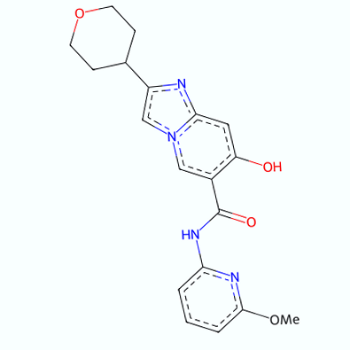 COc1cccc(NC(=O)c2cn3cc(C4CCOCC4)nc3cc2O)n1